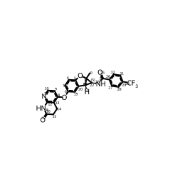 CC12Oc3ccc(Oc4ccnc5c4CCC(=O)N5)cc3[C@H]1[C@@H]2NC(=O)c1ccc(C(F)(F)F)cc1